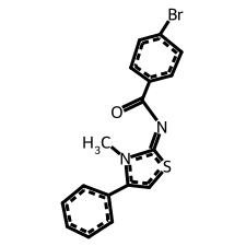 Cn1c(-c2ccccc2)cs/c1=N/C(=O)c1ccc(Br)cc1